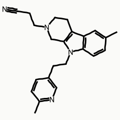 Cc1ccc2c(c1)c1c(n2CCc2ccc(C)nc2)CN(CCC#N)CC1